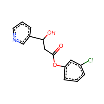 O=C(CC(O)c1cccnc1)Oc1cccc(Cl)c1